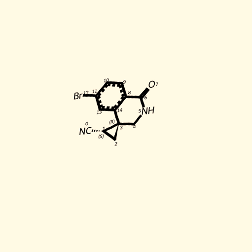 N#C[C@H]1C[C@@]12CNC(=O)c1ccc(Br)cc12